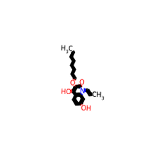 CC=Cn1c(=O)c(OCCCCCCCC)c(O)c2ccc(O)cc21